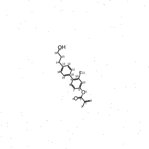 C=C(C)C(=O)Oc1ccc(-c2ccc(CCCO)cc2)c(F)c1